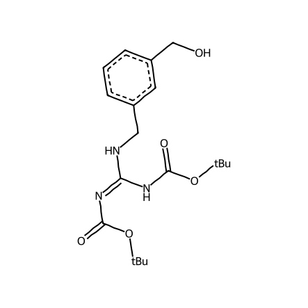 CC(C)(C)OC(=O)N=C(NCc1cccc(CO)c1)NC(=O)OC(C)(C)C